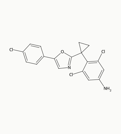 Nc1cc(Cl)c(C2(c3ncc(-c4ccc(Cl)cc4)o3)CC2)c(Cl)c1